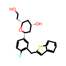 OCC[C@@H]1C[C@H](O)C[C@H](c2ccc(F)c(Cc3cc4ccccc4s3)c2)O1